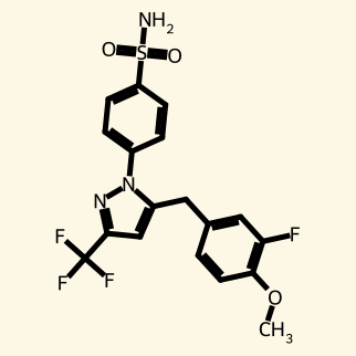 COc1ccc(Cc2cc(C(F)(F)F)nn2-c2ccc(S(N)(=O)=O)cc2)cc1F